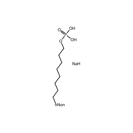 CCCCCCCCCCCCCCCCCOP(=O)(O)O.[NaH]